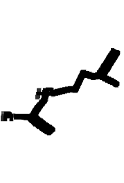 C=C(C)CCPC(=C)C(C)C